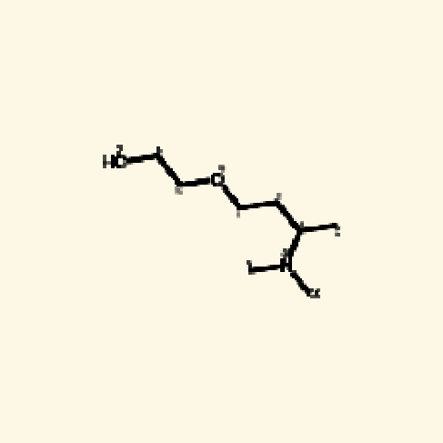 CC(CCOCCO)N(C)C